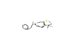 C/C(=C\c1ccccc1)c1ccc2c(c1)SCCC2(C)C